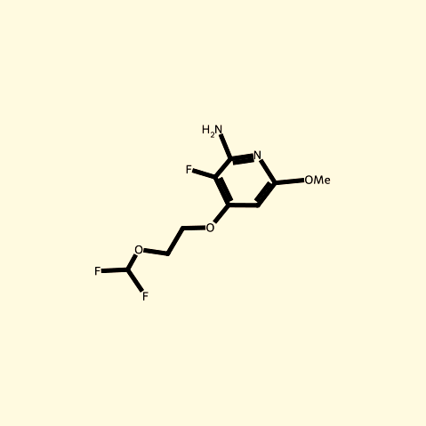 COc1cc(OCCOC(F)F)c(F)c(N)n1